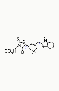 CN1/C(=C/C2=CC(=C3\SC(=S)N(CC(=O)O)C3=O)/CC(C)(C)C2)Sc2ccccc21